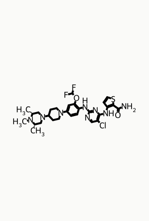 C[C@@H]1CN(C2CCN(c3ccc(Nc4ncc(Cl)c(Nc5ccsc5C(N)=O)n4)c(OC(F)F)c3)CC2)C[C@H](C)N1C